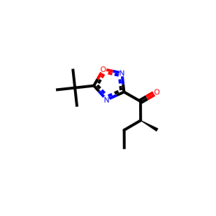 CC[C@H](C)C(=O)c1noc(C(C)(C)C)n1